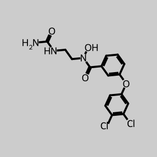 NC(=O)NCCN(O)C(=O)c1cccc(Oc2ccc(Cl)c(Cl)c2)c1